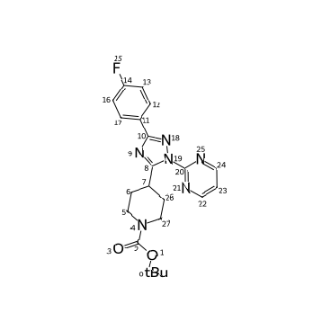 CC(C)(C)OC(=O)N1CCC(c2nc(-c3ccc(F)cc3)nn2-c2ncccn2)CC1